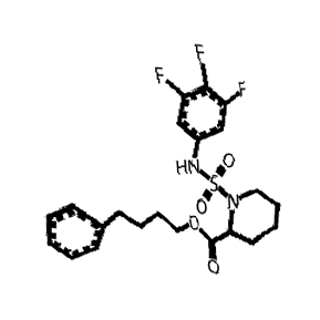 O=C(OCCCCc1ccccc1)C1CCCCN1S(=O)(=O)Nc1cc(F)c(F)c(F)c1